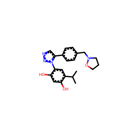 CC(C)c1cc(-n2nncc2-c2ccc(CN3CCCO3)cc2)c(O)cc1O